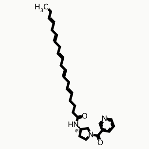 CCC=CCC=CCC=CCC=CCC=CCCCC(=O)N[C@@H]1CCN(C(=O)c2cccnc2)C1